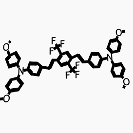 COc1ccc(N(c2ccc(C=Cc3cc(C(F)(F)F)c(C=Cc4ccc(N(c5ccc(OC)cc5)c5ccc(OC)cc5)cc4)cc3C(F)(F)F)cc2)c2ccc(OC)cc2)cc1